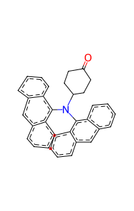 O=C1CCC(N(c2c3ccccc3cc3ccccc23)c2c3ccccc3cc3ccccc23)CC1